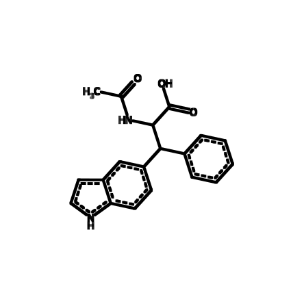 CC(=O)NC(C(=O)O)C(c1ccccc1)c1ccc2[nH]ccc2c1